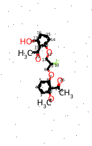 COc1cccc(OCC(F)COc2cccc(O)c2C(C)=O)c1C(C)=O